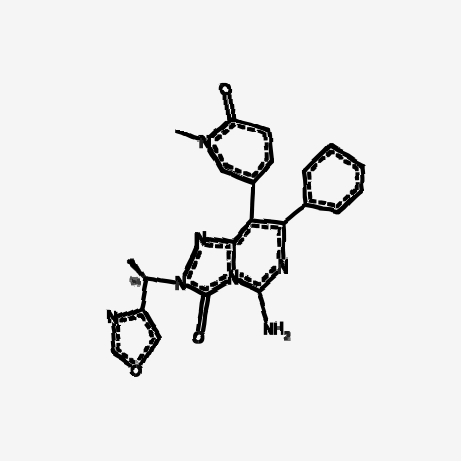 C[C@H](c1cocn1)n1nc2c(-c3ccc(=O)n(C)c3)c(-c3ccccc3)nc(N)n2c1=O